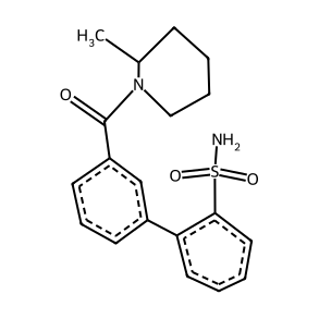 CC1CCCCN1C(=O)c1cccc(-c2ccccc2S(N)(=O)=O)c1